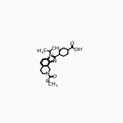 COC(=O)N1CCc2ccc3c(nc(C4CCC(C(=O)O)CC4)n3C(C)C)c2C1